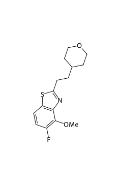 COc1c(F)ccc2sc(CCC3CCOCC3)nc12